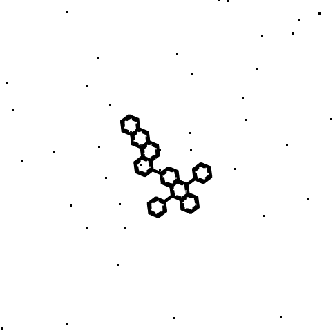 c1ccc(-c2c3ccccc3c(-c3ccccc3)c3cc(-c4cccc5c4ccc4cc6ccccc6cc45)ccc23)cc1